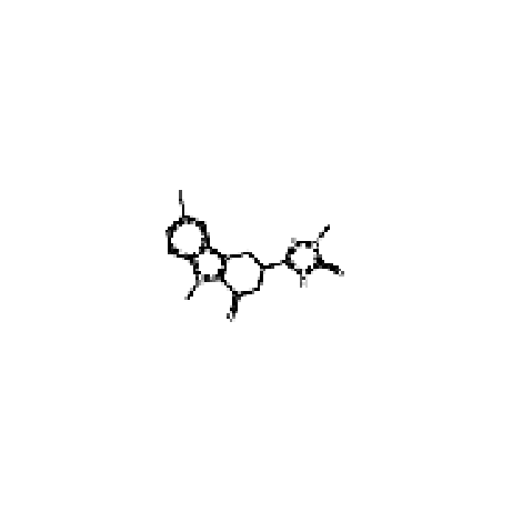 Cn1nc(C2CC(=O)c3c(c4cc(I)ccc4n3C)C2)[nH]c1=S